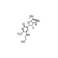 Cc1nc(=O)n([C@@H]2O[C@@](CO)(N=[N+]=[N-])[C@@H](O)[C@@H]2F)cc1NCCO